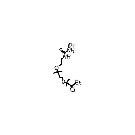 CCC(=O)C(C)(C)OCCC(C)(C)OCCNC(=S)NC(C)C